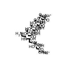 NCCNCCN.O=P(O)(O)CP(=O)(O)O.O=P(O)(O)CP(=O)(O)O.O=P(O)(O)CP(=O)(O)O.O=P(O)(O)CP(=O)(O)O.O=P([O-])([O-])CP(=O)([O-])O.[Na+].[Na+].[Na+]